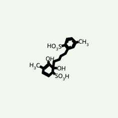 CC1=C(O)C(O)(CCCCc2cc(C)ccc2S(=O)(=O)O)C(S(=O)(=O)O)C=C1